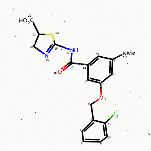 CNc1cc(OCc2ccccc2Cl)cc(C(=O)NC2=NCC(C(=O)O)S2)c1